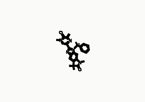 Cc1nc(-c2nc3cc4c(cc3n2[C@@H](C)c2ccccc2)N(C)C(=O)C4(C)C)cn(C)c1=O